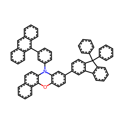 c1ccc(C2(c3ccccc3)c3ccccc3-c3cc(-c4ccc5c(c4)N(c4cccc(-c6c7ccccc7cc7ccccc67)c4)c4ccc6ccccc6c4O5)ccc32)cc1